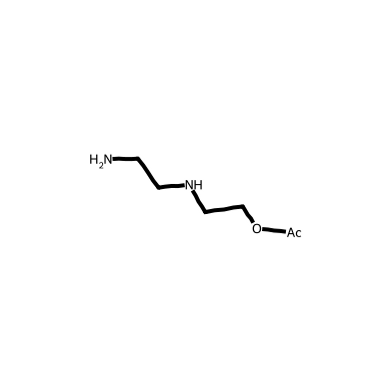 CC(=O)OCCNCCN